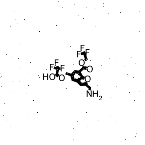 Cc1cc(C(=O)OCC(F)(F)F)c2oc(CN)cc2c1.O=C(O)C(F)(F)F